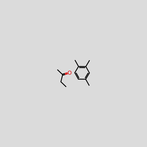 CCC(C)=O.Cc1ccc(C)c(C)c1